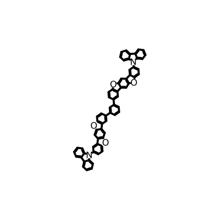 c1cc(-c2ccc3oc4cc5c(cc4c3c2)oc2ccc(-n3c4ccccc4c4ccccc43)cc25)cc(-c2ccc3oc4cc5c(cc4c3c2)oc2ccc(-n3c4ccccc4c4ccccc43)cc25)c1